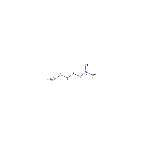 CCCCCCCCCCCN(C(C)C)C(C)C